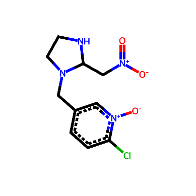 O=[N+]([O-])CC1NCCN1Cc1ccc(Cl)[n+]([O-])c1